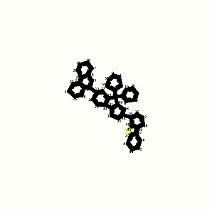 c1ccc(C2(c3ccccc3)c3cc(-c4cc5ccccc5c5ccccc45)ccc3-c3ccc(-c4cccc5c4sc4ccccc45)cc32)cc1